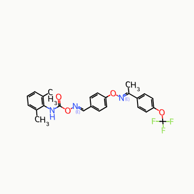 C/C(=N\Oc1ccc(/C=N/OC(=O)Nc2c(C)cccc2C)cc1)c1ccc(OC(F)(F)F)cc1